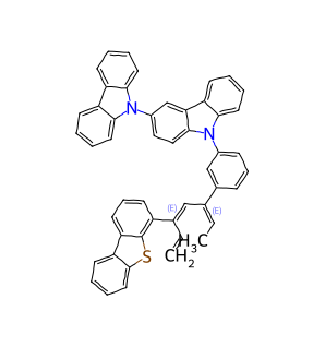 C=C/C(=C\C(=C/C)c1cccc(-n2c3ccccc3c3cc(-n4c5ccccc5c5ccccc54)ccc32)c1)c1cccc2c1sc1ccccc12